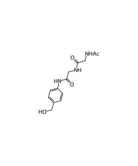 CC(=O)NCC(=O)NCC(=O)Nc1ccc(CO)cc1